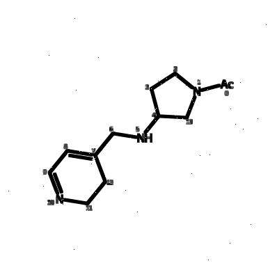 CC(=O)N1CCC(NCC2=CC=NCC2)C1